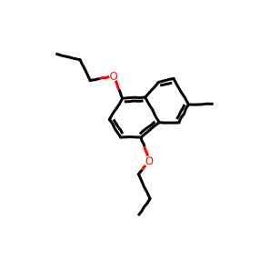 CCCOc1ccc(OCCC)c2cc(C)ccc12